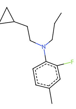 CCCN(CCC1CC1)c1ccc(C)cc1F